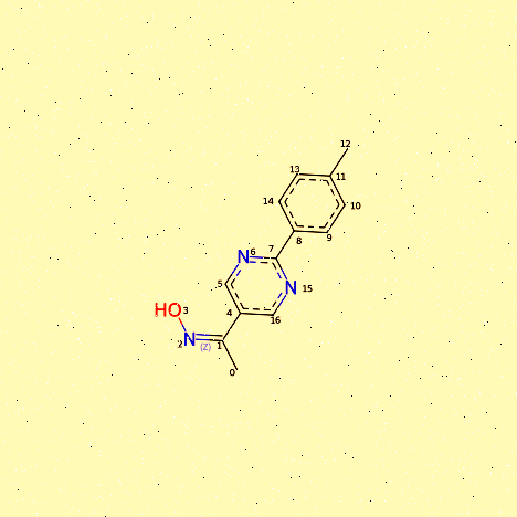 C/C(=N/O)c1cnc(-c2ccc(C)cc2)nc1